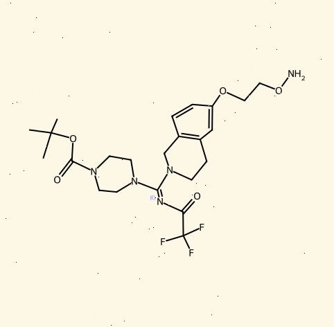 CC(C)(C)OC(=O)N1CCN(/C(=N/C(=O)C(F)(F)F)N2CCc3cc(OCCON)ccc3C2)CC1